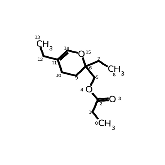 CCC(=O)OCC1(CC)CCC(CC)=CO1